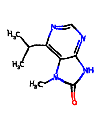 CC(C)c1ncnc2[nH]c(=O)n(C)c12